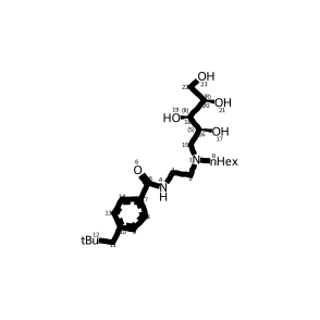 CCCCCCN(CCNC(=O)c1ccc(CC(C)(C)C)cc1)C[C@H](O)[C@@H](O)[C@H](O)CO